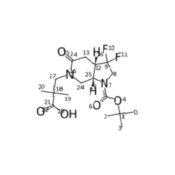 CC(C)(C)OC(=O)N1CC(F)(F)[C@H]2CC(=O)N(CC(C)(C)C(=O)O)C[C@H]21